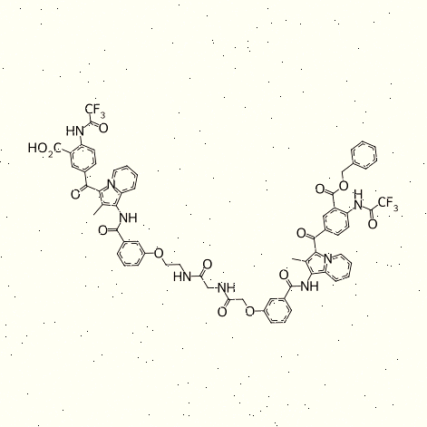 Cc1c(NC(=O)c2cccc(OCCNC(=O)CNC(=O)COc3cccc(C(=O)Nc4c(C)c(C(=O)c5ccc(NC(=O)C(F)(F)F)c(C(=O)OCc6ccccc6)c5)n5ccccc45)c3)c2)c2ccccn2c1C(=O)c1ccc(NC(=O)C(F)(F)F)c(C(=O)O)c1